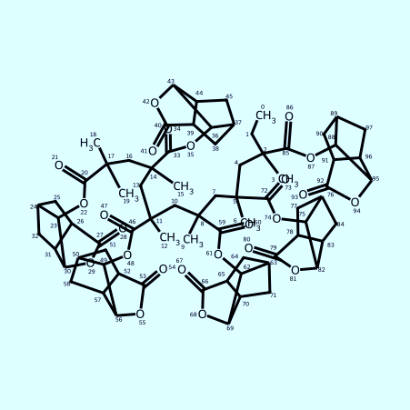 CCC(C)(CC(C)(CC(C)(CC(C)(CC(C)(CC(C)(C)C(=O)OC1C2CC3C(=O)OC1C3C2)C(=O)OC1C2CC3C(=O)OC1C3C2)C(=O)OC1C2CC3C(=O)OC1C3C2)C(=O)OC1C2CC3C(=O)OC1C3C2)C(=O)OC1C2CC3C(=O)OC1C3C2)C(=O)OC1C2CC3C(=O)OC1C3C2